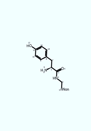 CCCCCCCCCCNC(=O)[C@@H](N)Cc1ccc(O)cc1